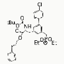 CCOP(=O)(Cc1cc(CC(NC(=O)OC(C)(C)C)C(=O)OCC=Cc2ccccc2)cc(-c2ccc(Cl)cc2)c1)OCC